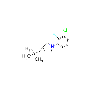 CC(C)(C)C1C2CN(c3cccc(Cl)c3F)CC21